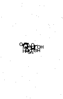 O=c1ccn([C@@H]2O[C@H](CO)[C@@H](O)[C@H]2O)c(=O)[nH]1.[Sn]